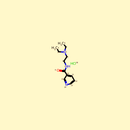 CCN(CC)CCNC(=O)c1cccnc1.Cl